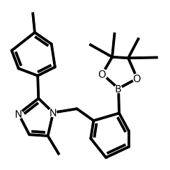 Cc1ccc(-c2ncc(C)n2Cc2ccccc2B2OC(C)(C)C(C)(C)O2)cc1